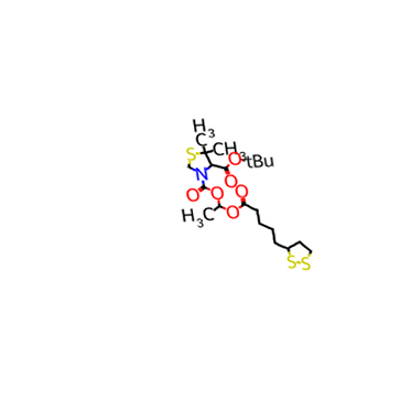 CC(OC(=O)CCCCC1CCSS1)OC(=O)N1CSC(C)(C)C1C(=O)OC(C)(C)C